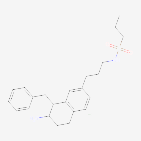 CCCS(=O)(=O)NCCCc1ccc2c(c1)C(Cc1ccccc1)C(N)CC2.Cl